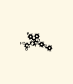 CC(C)c1c(C(=O)Nc2ccc(OCc3ccccc3)cc2)c(-c2ccccc2)c(-c2ccc(F)cc2)n1CC[C@@H]1C[C@@H](O)CC(=O)O1